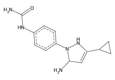 NC(=O)Nc1ccc(N2NC(C3CC3)=CC2N)cc1